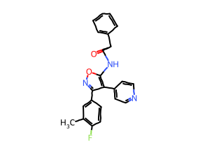 Cc1cc(-c2noc(NC(=O)Cc3ccccc3)c2-c2ccncc2)ccc1F